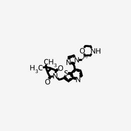 CC1(C)C2C(=O)N(Cc3cc4nccc(-c5nccn5C[C@H]5CNCCO5)c4s3)C(=O)C21